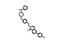 O=c1c2ccc(-c3ccc(Cl)cc3)cc2ncn1CCc1ccc(CN2CCC(Nc3ccccn3)CC2)cc1